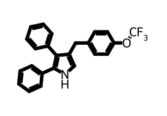 FC(F)(F)Oc1ccc(Cc2c[nH]c(-c3ccccc3)c2-c2ccccc2)cc1